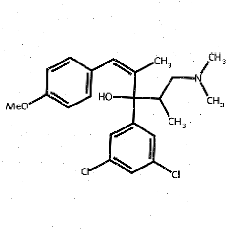 COc1ccc(C=C(C)C(O)(c2cc(Cl)cc(Cl)c2)C(C)CN(C)C)cc1